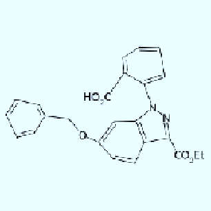 CCOC(=O)c1nn(-c2ccccc2C(=O)O)c2cc(OCc3ccccc3)ccc12